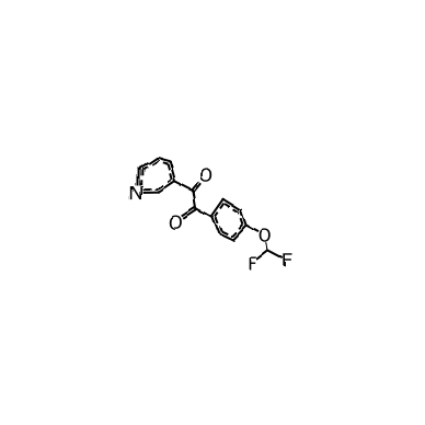 O=C(C(=O)c1cccnc1)c1ccc(OC(F)F)cc1